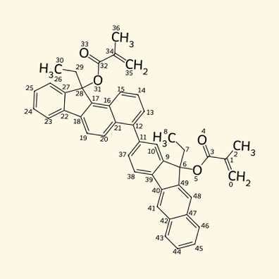 C=C(C)C(=O)OC1(CC)c2cc(-c3cccc4c5c(ccc34)-c3ccccc3C5(CC)OC(=O)C(=C)C)ccc2-c2cc3ccccc3cc21